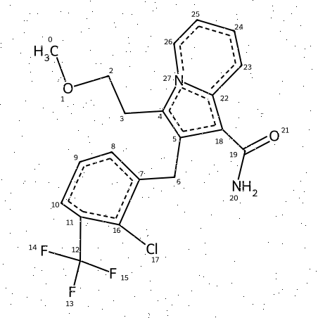 COCCc1c(Cc2cccc(C(F)(F)F)c2Cl)c(C(N)=O)c2ccccn12